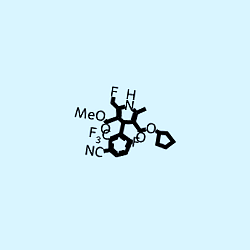 COC(=O)C1=C(CF)NC(C)=C(C(=O)OC2CCCC2)C1c1c(F)ccc(C#N)c1C(F)(F)F